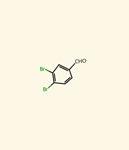 O=[C]c1ccc(Br)c(Br)c1